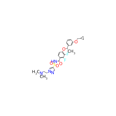 CC(Oc1ccc(C(=O)NS(=O)(=O)c2cnn(CCN(C)C)c2)c(F)c1F)c1cccc(OCC2CC2)c1